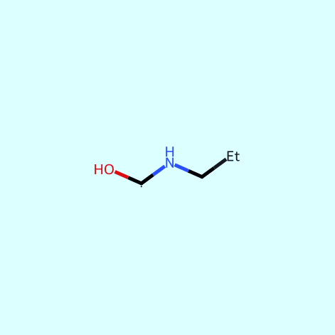 CCCN[CH]O